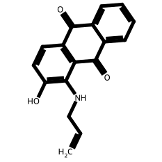 C=CCNc1c(O)ccc2c1C(=O)c1ccccc1C2=O